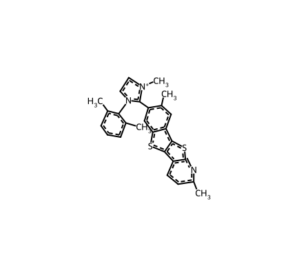 Cc1ccc2c(n1)sc1c3cc(C)c(-c4n(-c5c(C)cccc5C)cc[n+]4C)cc3sc21